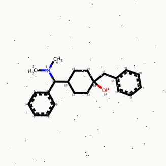 CN(C)C(c1ccccc1)C1CCC(O)(Cc2ccccc2)CC1